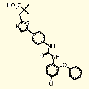 CC(C)(Cc1ncc(-c2ccc(NC(=O)Nc3ccc(Cl)cc3Oc3ccccc3)cc2)s1)C(=O)O